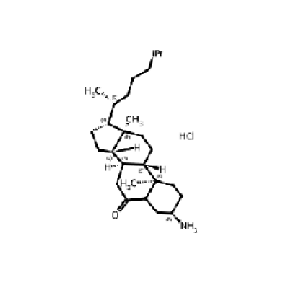 CC(C)CCC[C@@H](C)[C@H]1CC[C@H]2[C@@H]3CC(=O)C4C[C@H](N)CC[C@]4(C)[C@H]3CC[C@]12C.Cl